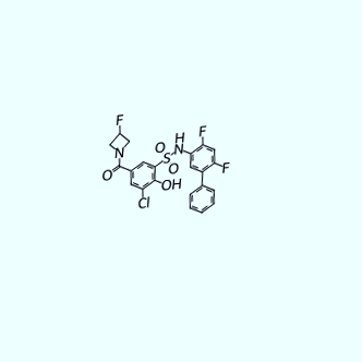 O=C(c1cc(Cl)c(O)c(S(=O)(=O)Nc2cc(-c3ccccc3)c(F)cc2F)c1)N1CC(F)C1